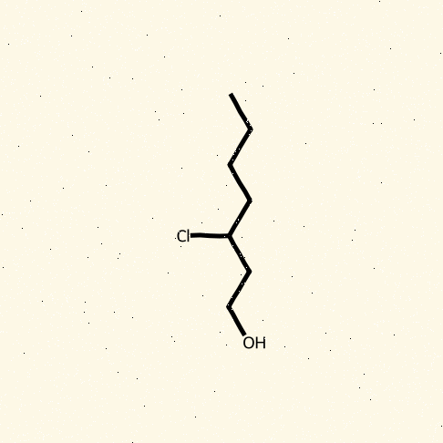 CCCCC(Cl)CCO